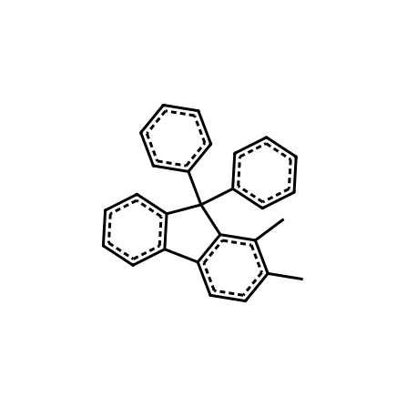 Cc1ccc2c(c1C)C(c1ccccc1)(c1ccccc1)c1ccccc1-2